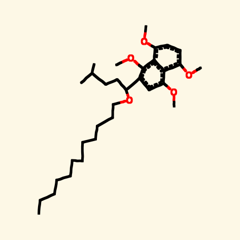 CCCCCCCCCCCCOC(CCC(C)C)c1cc(OC)c2c(OC)ccc(OC)c2c1OC